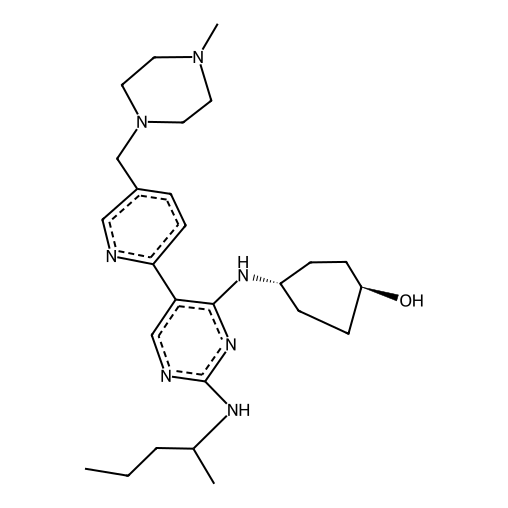 CCCC(C)Nc1ncc(-c2ccc(CN3CCN(C)CC3)cn2)c(N[C@H]2CC[C@H](O)CC2)n1